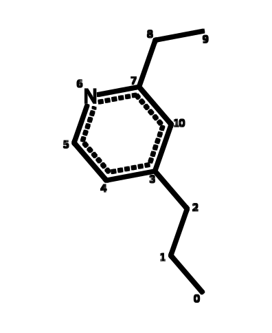 CCCc1ccnc(CC)c1